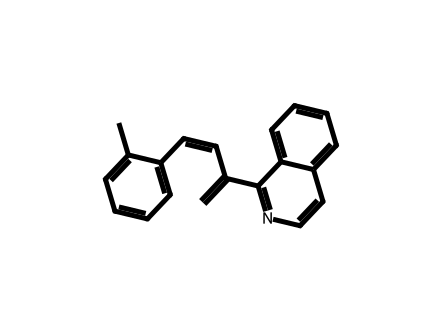 C=C(/C=C\c1ccccc1C)c1nccc2ccccc12